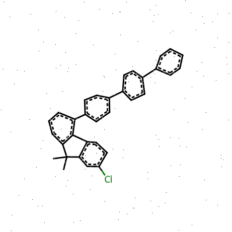 CC1(C)c2cc(Cl)ccc2-c2c(-c3ccc(-c4ccc(-c5ccccc5)cc4)cc3)cccc21